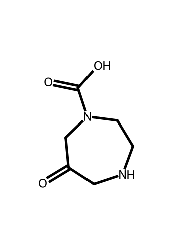 O=C1CNCCN(C(=O)O)C1